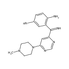 CCCc1ccc(N)c(C(=N)c2cc(N3CCN(C)CC3)ncn2)c1